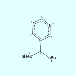 CCCCCCC(CCCC)c1cccnc1